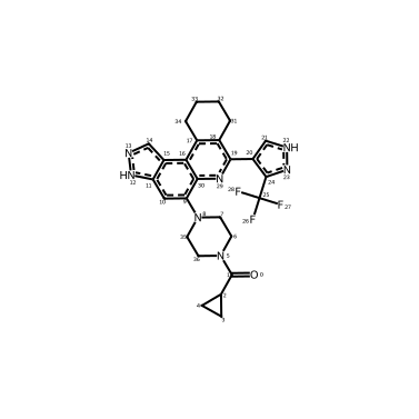 O=C(C1CC1)N1CCN(c2cc3[nH]ncc3c3c4c(c(-c5c[nH]nc5C(F)(F)F)nc23)CCCC4)CC1